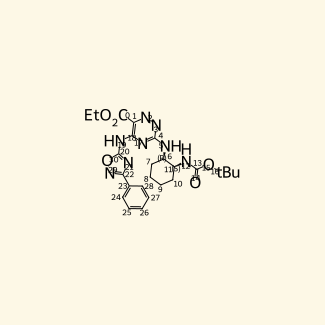 CCOC(=O)c1nnc(N[C@@H]2CCCC[C@@H]2NC(=O)OC(C)(C)C)nc1Nc1nc(-c2ccccc2)no1